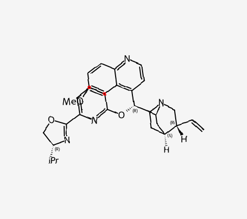 C=C[C@H]1CN2CC[C@H]1CC2[C@H](Oc1cccc(C2=N[C@H](C(C)C)CO2)n1)c1ccnc2ccc(OC)cc12